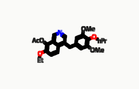 CCCOc1c(OC)cc(Cc2cncc3c(OC(C)=O)c(OCC)ccc23)cc1OC